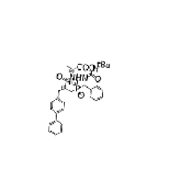 C[C@@H](NC(=O)[C@H](Cc1ccc(-c2ccccc2)cc1)CP(=O)(O)C(NC(=O)OC(C)(C)C)c1ccccc1)C(=O)O